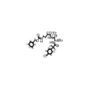 CCOC(=O)[C@@H](CCCNC(=O)OCc1ccccc1)NC(=O)[C@@H](NC(=O)C(C)(C)c1ccc(Cl)cc1)C(C)(C)C